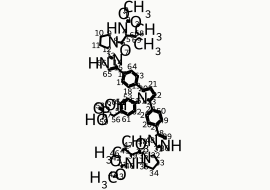 COC(=O)N[C@H](C(=O)N1CCC[C@H]1c1nc(-c2ccc(-c3ccc(-c4ccc(-c5c[nH]c([C@@H]6CCCN6C(=O)[C@@H](NC(=O)OC)C(C)C)n5)cc4)n3-c3ccc(CP(=O)(O)O)cc3)cc2)c[nH]1)C(C)C